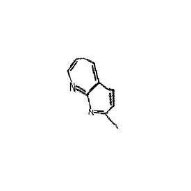 Ic1ccc2cccnc2n1